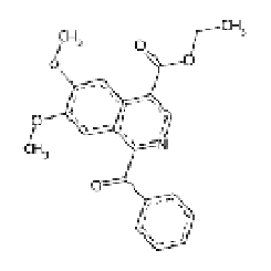 CCOC(=O)c1cnc(C(=O)c2ccccc2)c2cc(OC)c(OC)cc12